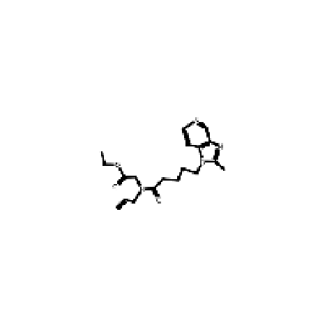 C=CCN(CC(=O)OCC)C(=O)CCCCn1c(C)nc2cnccc21